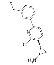 N[C@H]1C[C@@H]1c1ccc(-c2cccc(CF)c2)nc1Cl